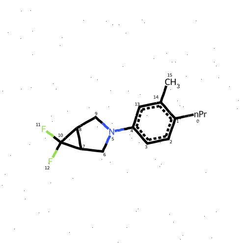 C[CH]Cc1ccc(N2CC3C(C2)C3(F)F)cc1C